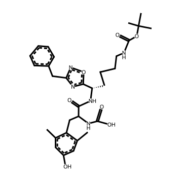 Cc1cc(O)cc(C)c1CC(NC(=O)O)C(=O)N[C@@H](CCCCNC(=O)OC(C)(C)C)c1nc(Cc2ccccc2)no1